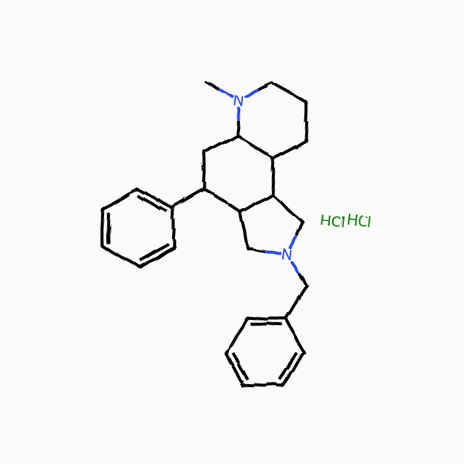 CN1CCCC2C3CN(Cc4ccccc4)CC3C(c3ccccc3)CC21.Cl.Cl